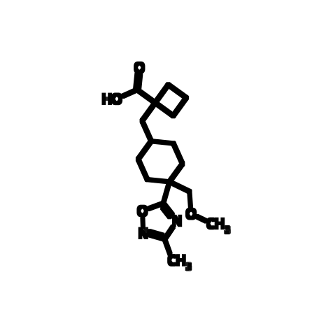 COCC1(c2nc(C)no2)CCC(CC2(C(=O)O)CCC2)CC1